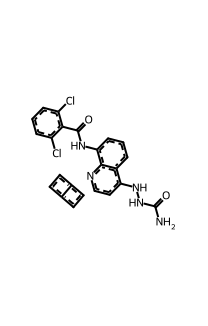 NC(=O)NNc1ccnc2c(NC(=O)c3c(Cl)cccc3Cl)cccc12.c1cc2ccc1-2